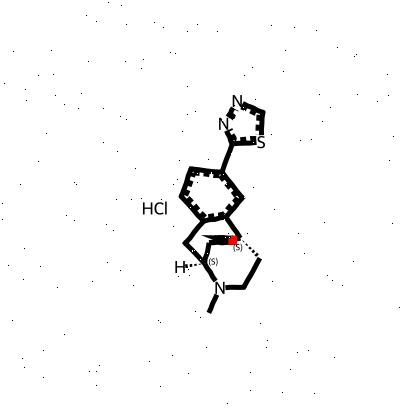 CN1CC[C@@]23CCCCC2[C@@H]1Cc1ccc(-c2nncs2)cc13.Cl